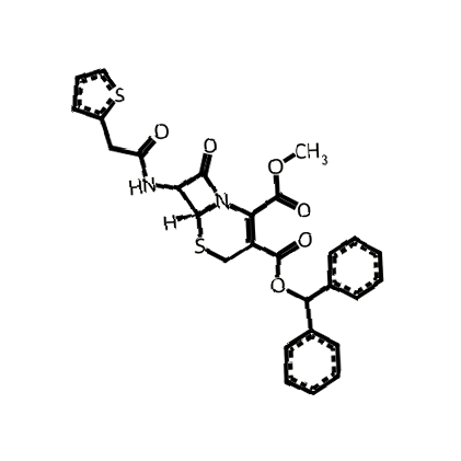 COC(=O)C1=C(C(=O)OC(c2ccccc2)c2ccccc2)CS[C@@H]2C(NC(=O)Cc3cccs3)C(=O)N12